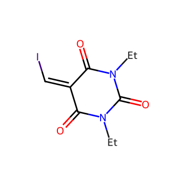 CCN1C(=O)C(=CI)C(=O)N(CC)C1=O